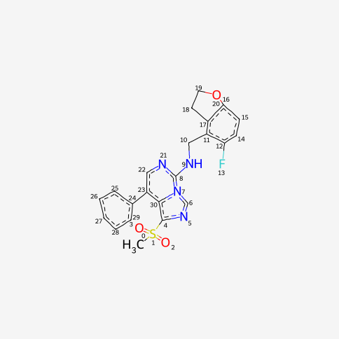 CS(=O)(=O)c1ncn2c(NCc3c(F)ccc4c3CCO4)ncc(-c3ccccc3)c12